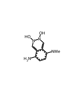 CNc1ccc(N)c2c1=CN(O)N(O)C=2